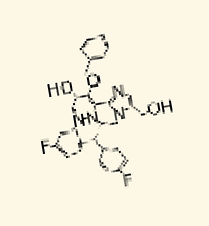 OCc1cnc2n1C[C@H](C(c1ccc(F)cc1)c1ccc(F)cc1)N1N=CC(O)C(OCc3ccccc3)=C21